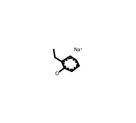 CCc1ccccc1[O-].[Na+]